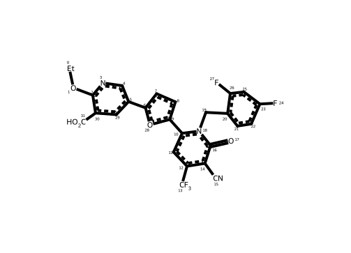 CCOc1ncc(-c2ccc(-c3cc(C(F)(F)F)c(C#N)c(=O)n3Cc3ccc(F)cc3F)o2)cc1C(=O)O